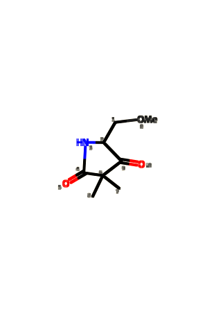 COCC1NC(=O)C(C)(C)C1=O